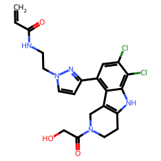 C=CC(=O)NCCn1ccc(-c2cc(Cl)c(Cl)c3[nH]c4c(c23)CN(C(=O)CO)CC4)n1